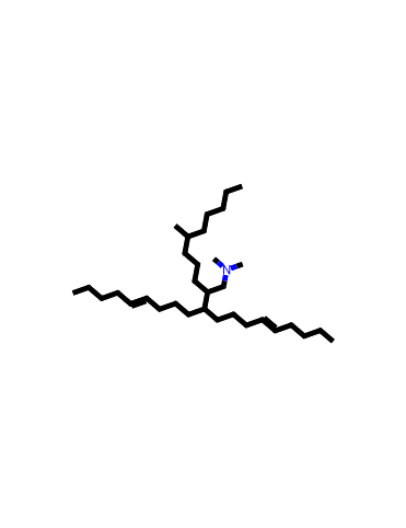 CCCC/C=C/CCCC(CCC/C=C/CCCC)C(CCCC(C)CCCCC)CN(C)C